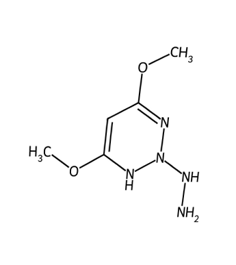 COC1=CC(OC)=NN(NN)N1